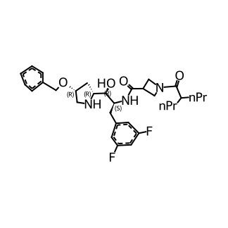 CCCC(CCC)C(=O)N1CC(C(=O)N[C@@H](Cc2cc(F)cc(F)c2)[C@H](O)[C@H]2C[C@@H](OCc3ccccc3)CN2)C1